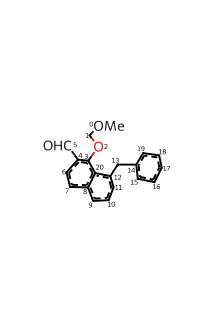 COCOc1c(C=O)ccc2cccc(Cc3ccccc3)c12